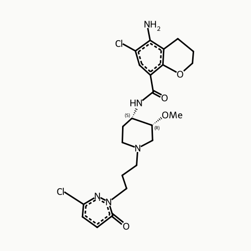 CO[C@@H]1CN(CCCn2nc(Cl)ccc2=O)CC[C@@H]1NC(=O)c1cc(Cl)c(N)c2c1OCCC2